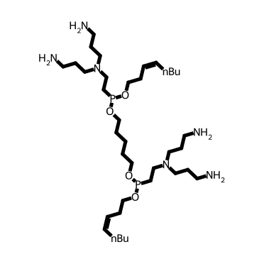 CCCC/C=C\CCOP(CCN(CCCN)CCCN)OCCCCCOP(CCN(CCCN)CCCN)OCC/C=C\CCCC